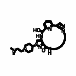 CN(C)CCN1CCC(n2cc3c(n2)C(=O)NCCCCCCn2cc(cn2)-c2cccc(n2)C(O)N3)CC1